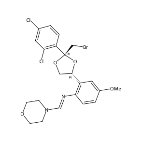 COc1ccc(N=CN2CCOCC2)c([C@@H]2CO[C@](CBr)(c3ccc(Cl)cc3Cl)O2)c1